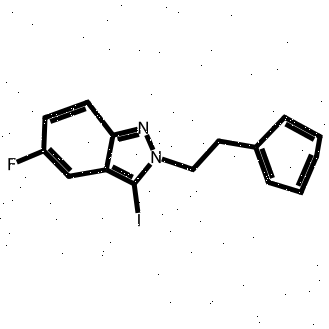 Fc1ccc2nn(CCc3ccccc3)c(I)c2c1